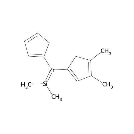 CC1=C(C)C[C]([Zr]([C]2=CC=CC2)=[Si](C)C)=C1